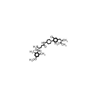 COc1cc(C)c(S(=O)(=O)N(C)CCC(=O)NC2CCN(c3ccc(CN(C)C(C)C)cc3Cl)CC2)c(C)c1